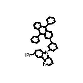 CC(C)c1ccc2c(c1)c1ncccc1n2-c1cccc(-c2ccc3c(-c4ccccc4)c4ccccc4c(-c4ccccc4)c3c2)c1